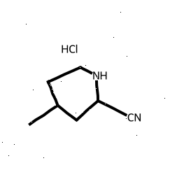 CC1CCNC(C#N)C1.Cl